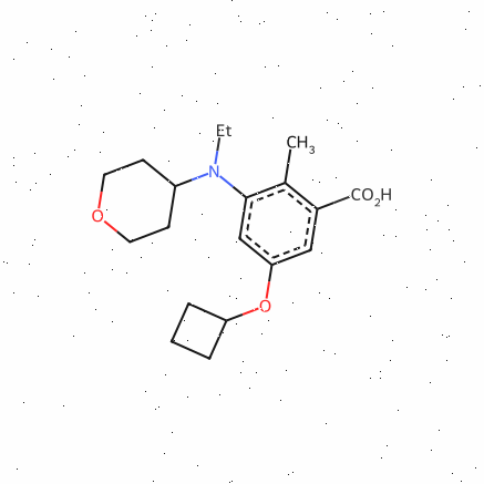 CCN(c1cc(OC2CCC2)cc(C(=O)O)c1C)C1CCOCC1